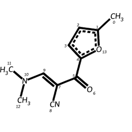 Cc1ccc(C(=O)C(C#N)=CN(C)C)o1